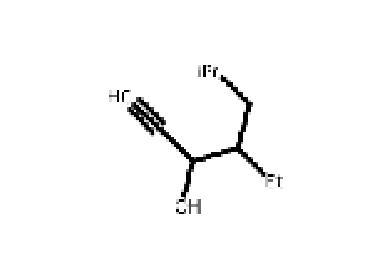 C#CC(O)C(CC)CC(C)C